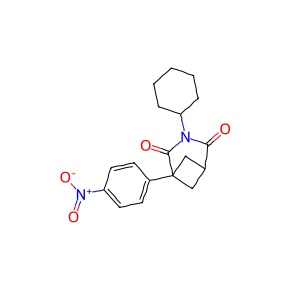 O=C1C2CC(c3ccc([N+](=O)[O-])cc3)(C2)C(=O)N1C1CCCCC1